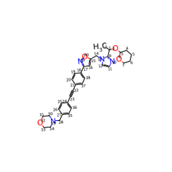 CC(OC1CCCCO1)c1nccn1Cc1cc(-c2ccc(C#Cc3ccc(CN4CCOCC4)cc3)cc2)no1